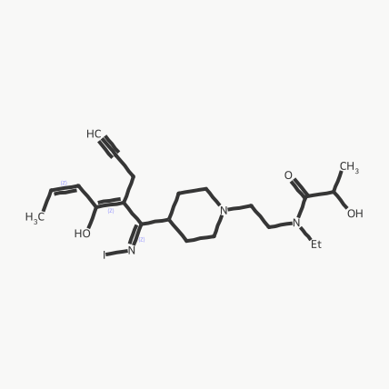 C#CCC(/C(=N\I)C1CCN(CCN(CC)C(=O)C(C)O)CC1)=C(O)\C=C/C